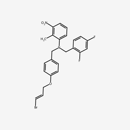 Cc1c(N(Cc2ccc(OCC=CBr)cc2)Cc2ccc(F)cc2F)cccc1[N+](=O)[O-]